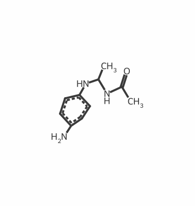 CC(=O)NC(C)Nc1ccc(N)cc1